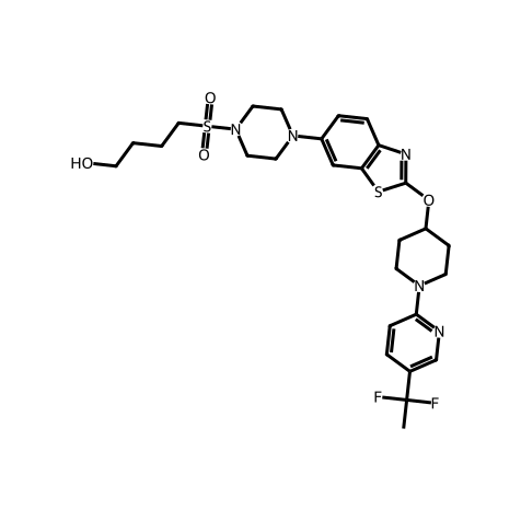 CC(F)(F)c1ccc(N2CCC(Oc3nc4ccc(N5CCN(S(=O)(=O)CCCCO)CC5)cc4s3)CC2)nc1